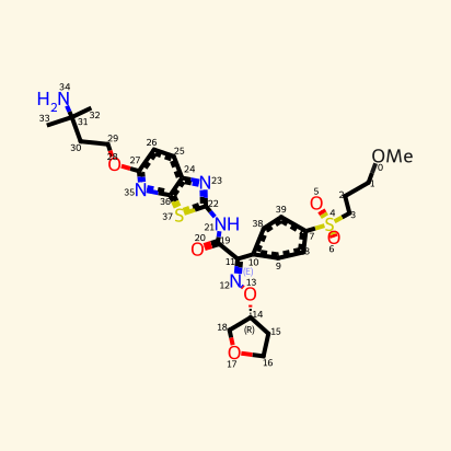 COCCCS(=O)(=O)c1ccc(/C(=N\O[C@@H]2CCOC2)C(=O)Nc2nc3ccc(OCCC(C)(C)N)nc3s2)cc1